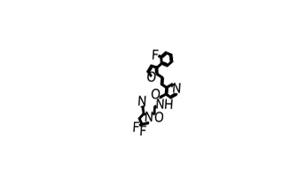 N#CC1CC(F)(F)CN1C(=O)CNC(=O)c1ccncc1C=Cc1occc1-c1ccccc1F